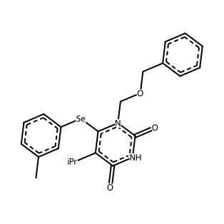 Cc1cccc([Se]c2c(C(C)C)c(=O)[nH]c(=O)n2COCc2ccccc2)c1